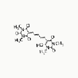 CN1C(=O)C(=CC=CC=Cc2c(O)n(C)c(=O)n(C)c2=O)C(=O)N(C)C1=O